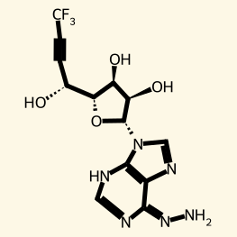 N/N=c1/nc[nH]c2c1ncn2[C@@H]1O[C@H]([C@H](O)C#CC(F)(F)F)[C@@H](O)[C@H]1O